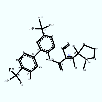 C=C/C(C(=C)Nc1ccc(C(F)(F)F)cc1-c1ccc(C(F)(F)F)c(C)c1)=C(/C)C1(C)CCCN1C